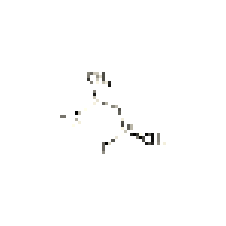 CC(C)C[C@@H](C)F